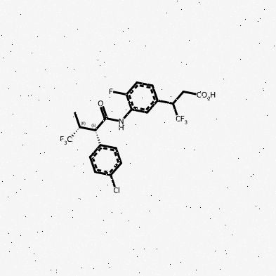 C[C@H]([C@H](C(=O)Nc1cc(C(CC(=O)O)C(F)(F)F)ccc1F)c1ccc(Cl)cc1)C(F)(F)F